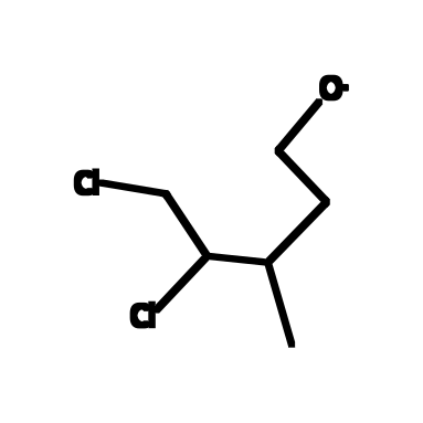 CC(CC[O])C(Cl)CCl